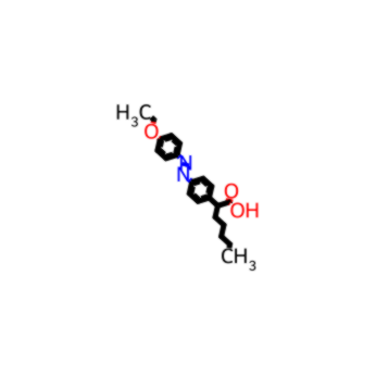 CCCCCC(C(=O)O)c1ccc(/N=N/c2ccc(OCC)cc2)cc1